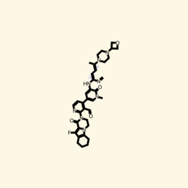 C=N/C(=C\C=C(/C)N1CCN(C2COC2)CC1)Nc1cc(-c2ccnc(N3CCn4c5c(c(F)c4C3=O)CCCC5)c2C=O)cn(C)c1=O